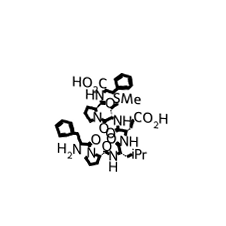 CSCC[C@H](NC(=O)[C@H](CCC(=O)O)NC(=O)[C@H](CC(C)C)NC(=O)[C@@H]1CCCN1C(=O)[C@@H](N)Cc1ccccc1)C(=O)N1CCC[C@H]1C(=O)N[C@@H](Cc1ccccc1)C(=O)O